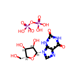 O=P(O)(O)OP(=O)(O)O.O=c1[nH]c(=O)c2ncn([C@@H]3O[C@H](CO)[C@@H](O)[C@H]3O)c2[nH]1